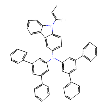 C/C=C(\CC)n1c2ccccc2c2cc(N(c3cc(-c4ccccc4)cc(-c4ccccc4)c3)c3cc(-c4ccccc4)cc(-c4ccccc4)c3)ccc21